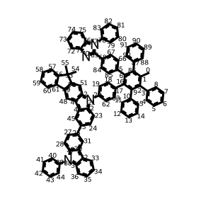 Cc1c(-c2ccccc2)c(-c2ccccc2)c(-c2ccc(-n3c4ccc(-c5ccc6c(c5)c5ccccc5n6-c5ccccc5)cc4c4cc5c(cc43)C(C)(C)c3ccccc3-5)cc2)c(-c2ccc(-c3nc4ccccc4n3-c3ccccc3)cc2)c1-c1ccccc1